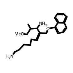 COCC(C)C(N)C(=CCCCCCN)COc1cccc2ccccc12